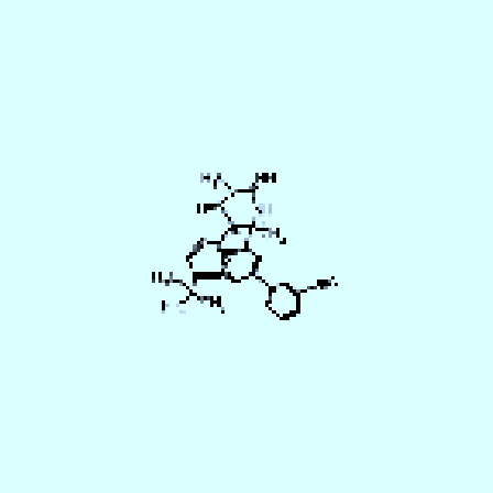 CN1C(=N)N[C@](C)(c2cccc(-c3cccc(C#N)c3)c2)[C@@H](c2ccc(C(C)(C)C)cc2)C1=O